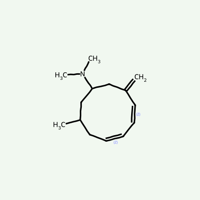 C=C1/C=C\C=C/CC(C)CC(N(C)C)C1